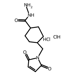 Cl.Cl.NNC(=O)C1CCC(CN2C(=O)C=CC2=O)CC1